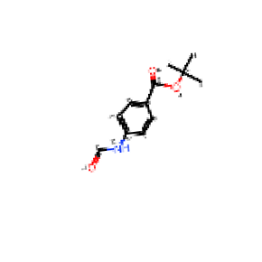 CC(C)(C)OC(=O)c1ccc(NC=O)cc1